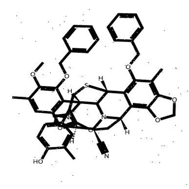 COc1c(C)cc2c(c1OCc1ccccc1)[C@@H]1C3[C@@H]4SC[C@]5(NCCc6cc(O)c(C)cc65)C(=O)OC[C@@H](c5c6c(c(C)c(OCc7ccccc7)c54)OCO6)N3[C@@H](C#N)[C@@H](C2)N1C